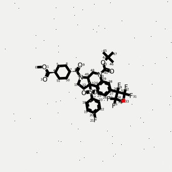 COC(=O)[C@H]1CC[C@H](C(=O)N2CCC3(S(=O)(=O)c4ccc(F)cc4)c4ccc(C(F)(C(F)(F)F)C(F)(F)F)cc4N(C(=O)OC(C)(C)C)CC23)CC1